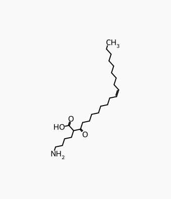 CCCCCCCC/C=C\CCCCCCCC(=O)C(CCCCN)C(=O)O